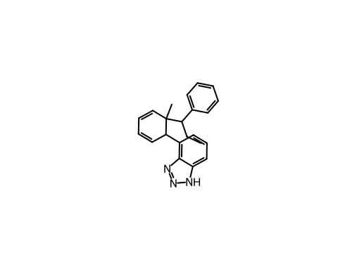 CCC(c1ccccc1)C1(C)C=CC=CC1c1cccc2[nH]nnc12